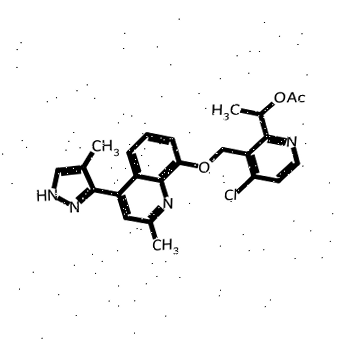 CC(=O)OC(C)c1nccc(Cl)c1COc1cccc2c(-c3n[nH]cc3C)cc(C)nc12